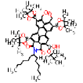 CCCCCCC(CCCCCC)N1C(=O)c2c(B(O)OC(C)(C)C(C)(C)C)cc3c4cc(B5OC(C)(C)C(C)(C)O5)c5c6c(c(B7OC(C)(C)C(C)(C)O7)cc(c7cc(B8OC(C)(C)C(C)(C)O8)c(c2c37)C1=O)c64)COOC5